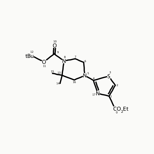 CCOC(=O)c1csc(N2CCN(C(=O)OC(C)(C)C)C(C)(C)C2)n1